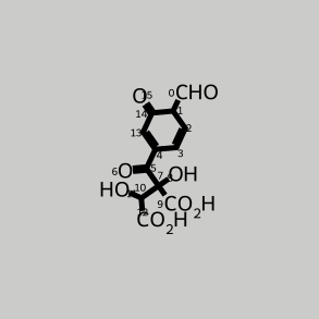 O=CC1C=CC(C(=O)C(O)(C(=O)O)C(O)C(=O)O)=CC1=O